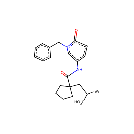 CCCC(CC1(C(=O)Nc2ccc(=O)n(Cc3ccccc3)c2)CCCC1)C(=O)O